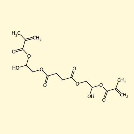 C=C(C)C(=O)OC(O)COC(=O)CCC(=O)OCC(O)OC(=O)C(=C)C